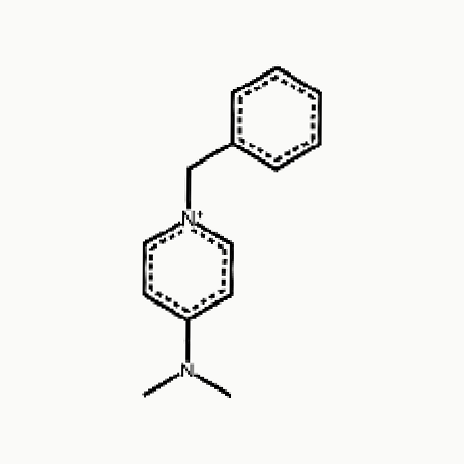 CN(C)c1cc[n+](Cc2ccccc2)cc1